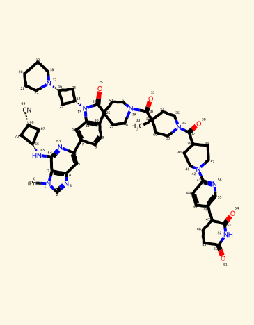 CC(C)n1cnc2cc(-c3ccc4c(c3)N([C@H]3C[C@@H](N5CCCCC5)C3)C(=O)C43CCN(C(=O)C4(C)CCN(C(=O)C5CCN(c6ccc(C7CCC(=O)NC7=O)cn6)CC5)CC4)CC3)nc(N[C@H]3C[C@@H](C#N)C3)c21